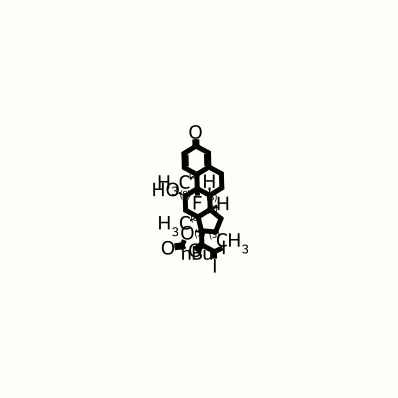 CCCCC(=O)O[C@@]1(C(=O)C(I)I)[C@@H](C)C[C@H]2[C@@H]3CCC4=CC(=O)C=C[C@]4(C)C3(F)[C@@H](O)C[C@@]21C